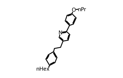 CCCCCCc1ccc(CCc2ccc(-c3ccc(OCCC)cc3)nc2)cc1